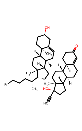 C#C[C@]1(O)CC[C@H]2[C@@H]3CCC4=CC(=O)CC[C@@H]4[C@H]3CC[C@@]21C.CC(C)CCC[C@@H](C)[C@H]1CC[C@H]2[C@@H]3CC=C4C[C@@H](O)CC[C@]4(C)[C@H]3CC[C@]12C